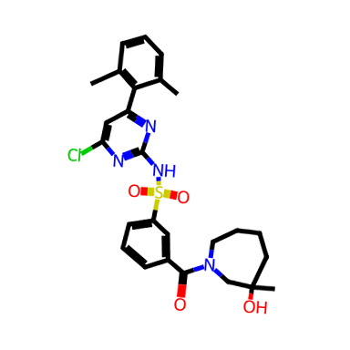 Cc1cccc(C)c1-c1cc(Cl)nc(NS(=O)(=O)c2cccc(C(=O)N3CCCCC(C)(O)C3)c2)n1